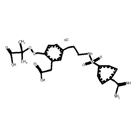 CC(C)(OOc1ccc(CCNS(=O)(=O)c2ccc(C(=N)N)cc2)cc1CC(=O)O)C(=O)O.Cl